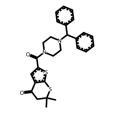 CC1(C)CC(=O)c2cc(C(=O)N3CCN(C(c4ccccc4)c4ccccc4)CC3)sc2S1